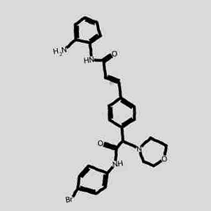 Nc1ccccc1NC(=O)/C=C/c1ccc(C(C(=O)Nc2ccc(Br)cc2)N2CCOCC2)cc1